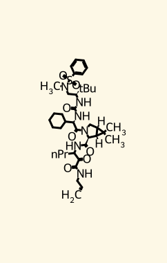 C=CCNC(=O)C(=O)C(CCC)NC(=O)[C@@H]1[C@@H]2[C@H](CN1C(=O)[C@@H](NC(=O)N[C@H](CN(C)S(=O)(=O)c1ccccc1)C(C)(C)C)C1CCCCC1)C2(C)C